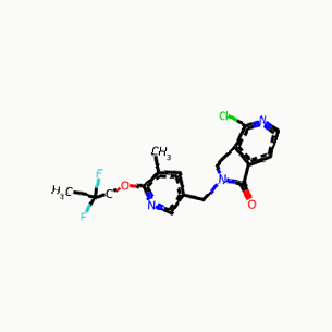 Cc1cc(CN2Cc3c(ccnc3Cl)C2=O)cnc1OCC(C)(F)F